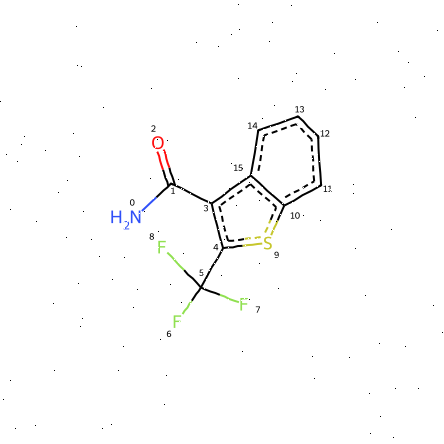 NC(=O)c1c(C(F)(F)F)sc2ccccc12